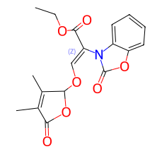 CCOC(=O)/C(=C/OC1OC(=O)C(C)=C1C)n1c(=O)oc2ccccc21